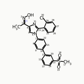 C/C(=N/O)c1cn(-c2ccc(-c3cccc(S(C)(=O)=O)c3)cc2)c(-c2ccccc2Cl)n1